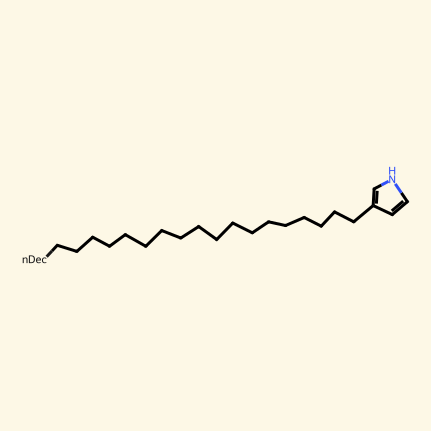 CCCCCCCCCCCCCCCCCCCCCCCCCCCCc1cc[nH]c1